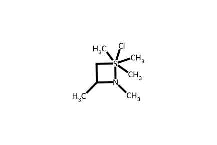 CC1CS(C)(C)(C)(Cl)N1C